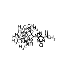 CNC(=O)C1SC(n2cnc3c(NC)nc(Cl)nc32)C(O[Si](C)(C)C(C)(C)C)C1O[Si](C)(C)C(C)(C)C